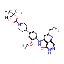 C=Cc1cc(Nc2ccc(C3CCN(C(=O)OC(C)(C)C)CC3)cc2OC)c2c(=O)[nH]ncc2n1